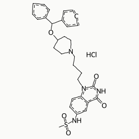 CS(=O)(=O)Nc1ccc2c(c1)c(=O)[nH]c(=O)n2CCCCN1CCC(OC(c2ccccc2)c2ccccc2)CC1.Cl